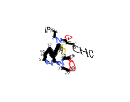 CC(C)CCN1C(=O)C(CC=O)SC1c1cccnc1N1CCOCC1